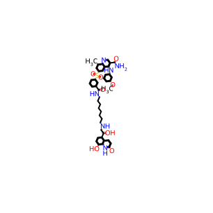 COc1cccc(Nc2c(C(N)=O)cnc3c(C)cc(S(=O)(=O)c4cccc(C(=O)NCCCCCCCCNC[C@@H](O)c5ccc(O)c6[nH]c(=O)ccc56)c4)cc23)c1